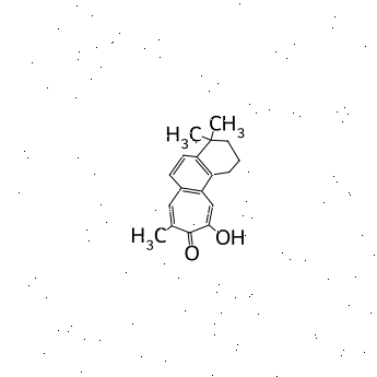 Cc1cc2ccc3c(c2cc(O)c1=O)CCCC3(C)C